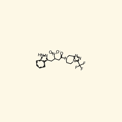 O=C(CC(Cc1n[nH]c2ccccc12)[N+](=O)[O-])N1CCn2c(nnc2C(F)(F)F)C1